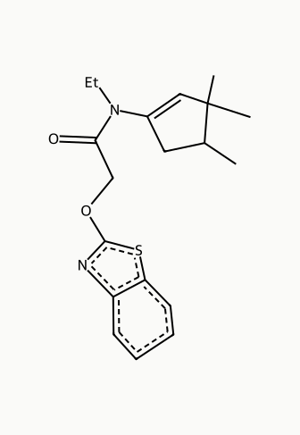 CCN(C(=O)COc1nc2ccccc2s1)C1=CC(C)(C)C(C)C1